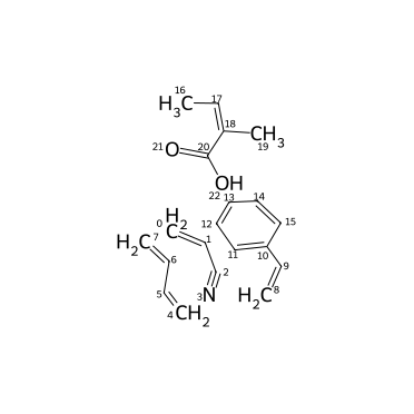 C=CC#N.C=CC=C.C=Cc1ccccc1.CC=C(C)C(=O)O